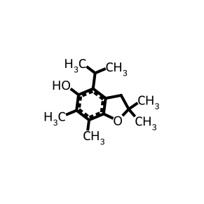 Cc1c(C)c2c(c(C(C)C)c1O)CC(C)(C)O2